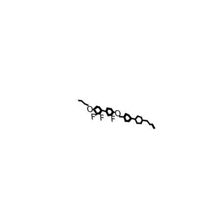 C=CCCC1CCC(c2ccc(COc3ccc(-c4ccc(OCCCC)c(F)c4F)cc3F)cc2)CC1